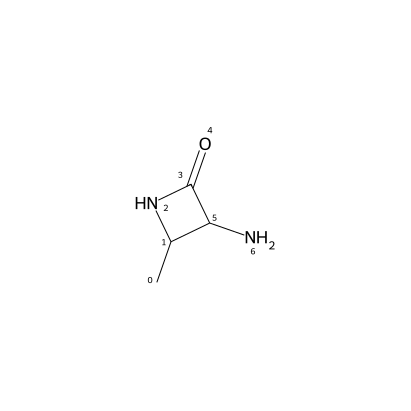 CC1NC(=O)C1N